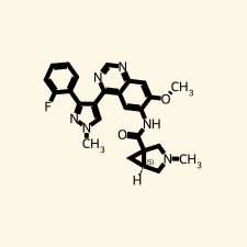 COc1cc2ncnc(-c3cn(C)nc3-c3ccccc3F)c2cc1NC(=O)C12C[C@@H]1CN(C)C2